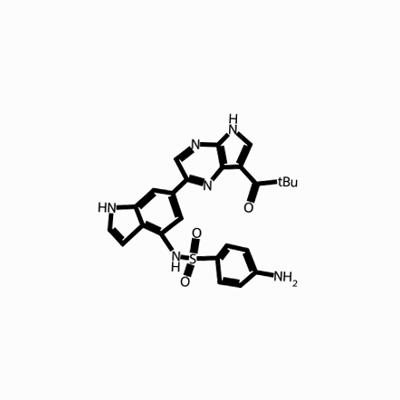 CC(C)(C)C(=O)c1c[nH]c2ncc(-c3cc(NS(=O)(=O)c4ccc(N)cc4)c4cc[nH]c4c3)nc12